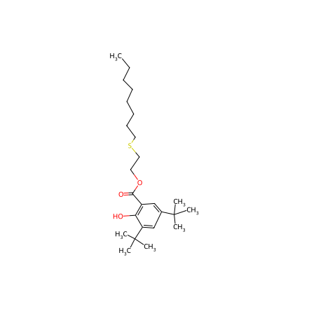 CCCCCCCCSCCOC(=O)c1cc(C(C)(C)C)cc(C(C)(C)C)c1O